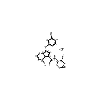 Cl.O=C(NC1CCNC[C@@H]1F)c1cn(Cc2ccnc(F)c2)c2cccc(F)c12